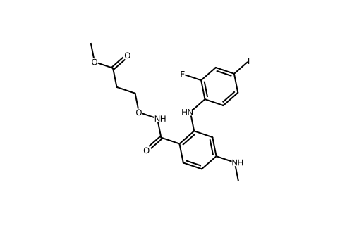 CNc1ccc(C(=O)NOCCC(=O)OC)c(Nc2ccc(I)cc2F)c1